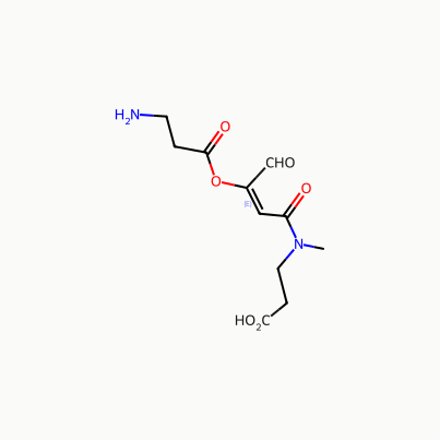 CN(CCC(=O)O)C(=O)/C=C(\C=O)OC(=O)CCN